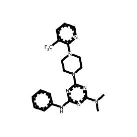 CN(C)c1nc(Nc2ccccc2)nc(N2CCN(c3ncccc3C(F)(F)F)CC2)n1